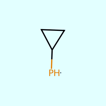 [PH]C1CC1